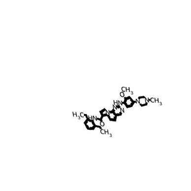 CCc1cccc(CC)c1NC(=O)c1ccn2c1ccc1cnc(Nc3ccc(N4CCN(C)CC4)cc3OC)nc12